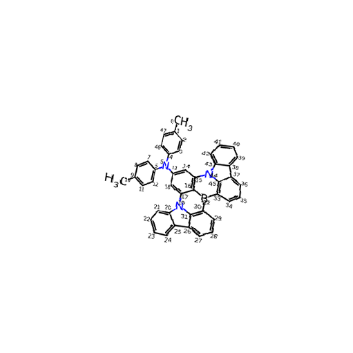 Cc1ccc(N(c2ccc(C)cc2)c2cc3c4c(c2)-n2c5ccccc5c5cccc(c52)B4c2cccc4c5ccccc5n-3c24)cc1